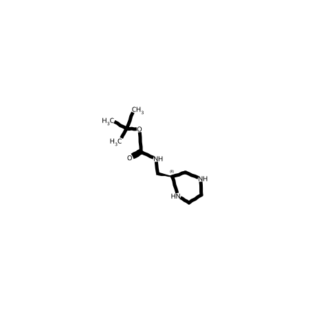 CC(C)(C)OC(=O)NC[C@H]1CNCCN1